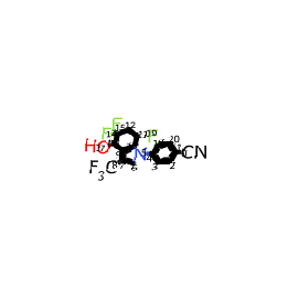 N#Cc1ccc(-n2cc(C(F)(F)F)c3c2CCC(F)(F)[C@@H]3O)c(F)c1